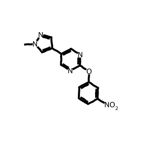 Cn1cc(-c2cnc(Oc3cccc([N+](=O)[O-])c3)nc2)cn1